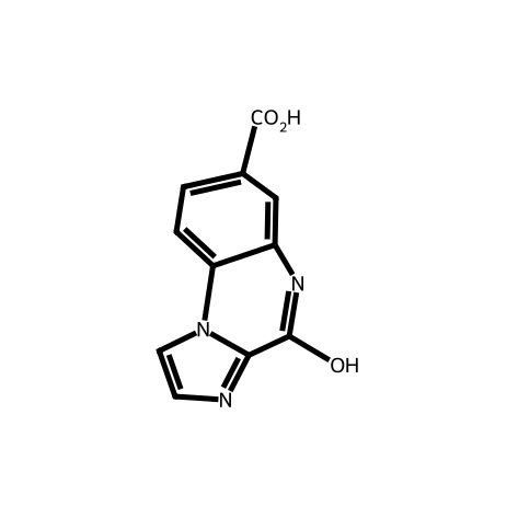 O=C(O)c1ccc2c(c1)nc(O)c1nccn12